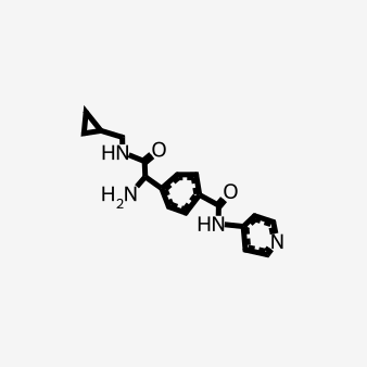 NC(C(=O)NCC1CC1)c1ccc(C(=O)Nc2ccncc2)cc1